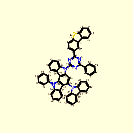 c1ccc(-c2nc(-c3ccc4sc5ccccc5c4c3)nc(-n3c4ccccc4c4c3cc(-n3c5ccccc5c5ccccc53)c3c5ccccc5n(-c5ccccc5)c34)n2)cc1